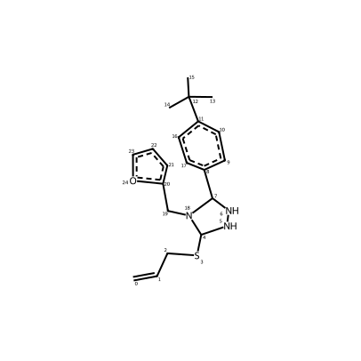 C=CCSC1NNC(c2ccc(C(C)(C)C)cc2)N1Cc1ccco1